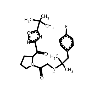 CC(C)(Cc1ccc(F)cc1)NCC(=O)N1CCCC1C(=O)c1noc(C(C)(C)C)n1